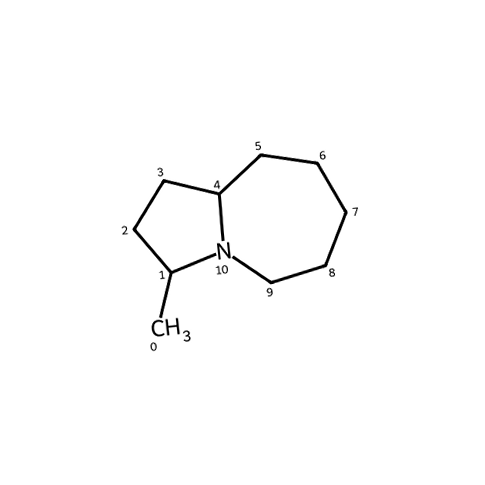 CC1CCC2CCCCCN12